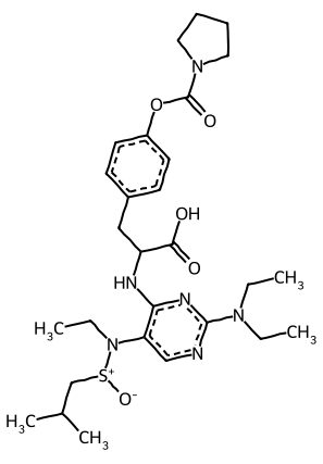 CCN(CC)c1ncc(N(CC)[S+]([O-])CC(C)C)c(NC(Cc2ccc(OC(=O)N3CCCC3)cc2)C(=O)O)n1